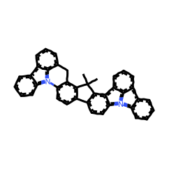 CC1(C)c2c(ccc3c2Cc2cccc4c5ccccc5n-3c24)-c2ccc3c(c21)c1cccc2c4ccccc4n3c21